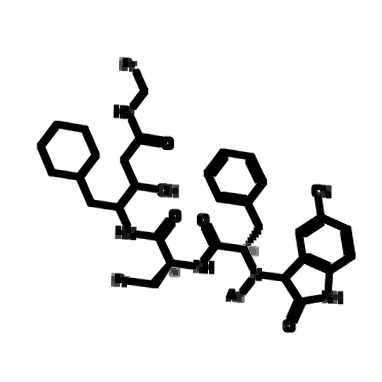 CC(=O)N(C1C(=O)Nc2ccc(C#N)cc21)[C@@H](Cc1ccccc1)C(=O)N[C@@H](CC(C)C)C(=O)NC(CC1CCCCC1)C(O)CC(=O)NCC(C)C